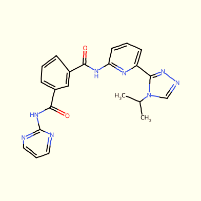 CC(C)n1cnnc1-c1cccc(NC(=O)c2cccc(C(=O)Nc3ncccn3)c2)n1